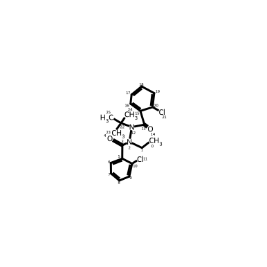 CCN(C(=O)c1ccccc1Cl)N(C(=O)c1ccccc1Cl)C(C)(C)C